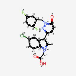 Cc1c(-c2ccc(=O)n(Cc3cc(F)ccc3F)n2)c2cc(Cl)ccc2n1CC(=O)O